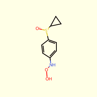 [O-][S+](c1ccc(NOO)cc1)C1CC1